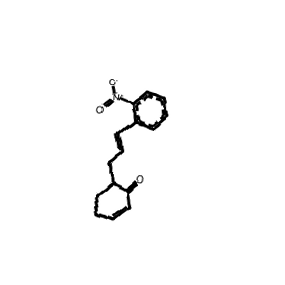 O=C1C=CCCC1C/C=C/c1ccccc1[N+](=O)[O-]